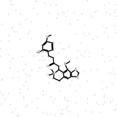 COc1ccc(CCC(=O)CC2c3c(cc4c(c3OC)OCO4)CC[N+]2(C)C)c(O)c1